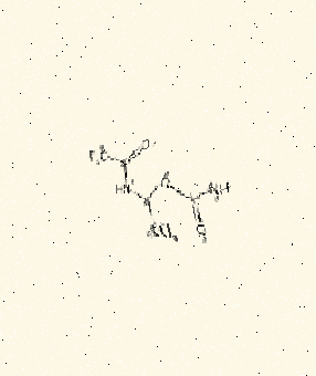 [NH]C(=O)OC(NC(=O)C(F)(F)F)C(Cl)(Cl)Cl